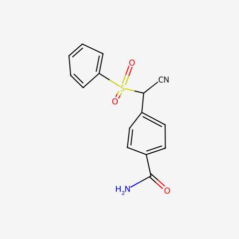 N#CC(c1ccc(C(N)=O)cc1)S(=O)(=O)c1ccccc1